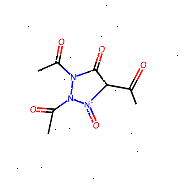 CC(=O)C1C(=O)N(C(C)=O)N(C(C)=O)[N+]1=O